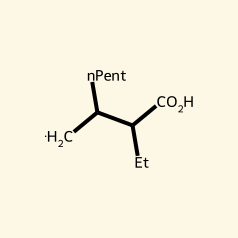 [CH2]C(CCCCC)C(CC)C(=O)O